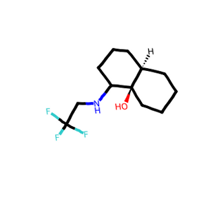 O[C@]12CCCC[C@@H]1CCCC2NCC(F)(F)F